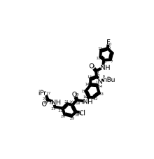 CCCCn1c(C(=O)Nc2ccc(F)cc2)cc2cc(NC(=O)c3cc(CNC(=O)C(C)C)ccc3Cl)ccc21